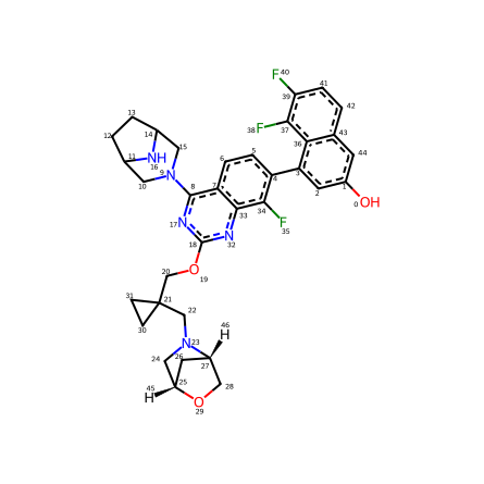 Oc1cc(-c2ccc3c(N4CC5CCC(C4)N5)nc(OCC4(CN5C[C@@H]6C[C@H]5CO6)CC4)nc3c2F)c2c(F)c(F)ccc2c1